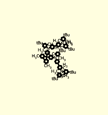 Cc1ccc2c(c1)-c1cc(C)ccc1C2(c1ccc(N(c2ccc(-c3ccc(N(c4c(C)cc(C(C)(C)C)cc4C)c4c(C)cc(C(C)(C)C)cc4C)cc3)cc2)c2c(C)cc(C(C)(C)C)cc2C)cc1)c1ccc(N(c2ccc(-c3ccc(N(c4c(C)cc(C(C)(C)C)cc4C)c4c(C)cc(C(C)(C)C)cc4C)cc3)cc2)c2c(C)cc(C(C)(C)C)cc2C)cc1